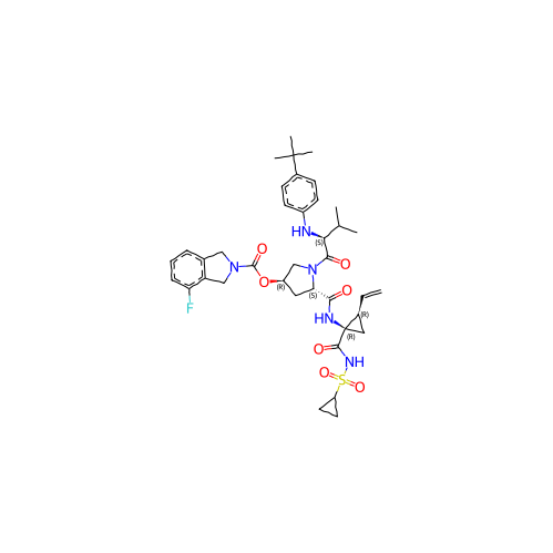 C=C[C@H]1C[C@]1(NC(=O)[C@@H]1C[C@@H](OC(=O)N2Cc3cccc(F)c3C2)CN1C(=O)[C@@H](Nc1ccc(C(C)(C)C)cc1)C(C)C)C(=O)NS(=O)(=O)C1CC1